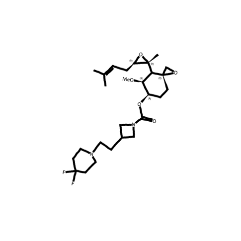 CO[C@H]1C([C@@]2(C)O[C@@H]2CC=C(C)C)[C@]2(CC[C@H]1OC(=O)N1CC(CCN3CCC(F)(F)CC3)C1)CO2